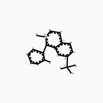 Cc1ccccc1-c1c2cc(C(C)(C)C)ccc2cc[n+]1C